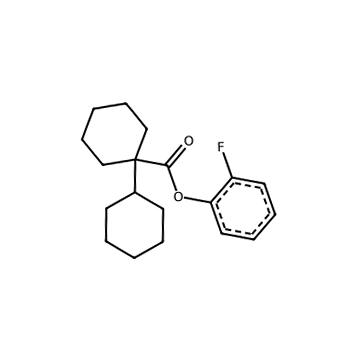 O=C(Oc1ccccc1F)C1(C2CCCCC2)CCCCC1